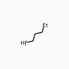 CCCC[CH2][Hf]